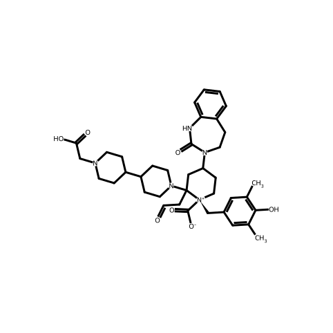 Cc1cc(C[N@+]2(C(=O)[O-])CCC(N3CCc4ccccc4NC3=O)CC2(CC=O)N2CCC(C3CCN(CC(=O)O)CC3)CC2)cc(C)c1O